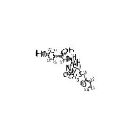 CS(=O)(=O)N=C(NCCSCc1ccco1)NCC(O)c1ccc(O)cc1